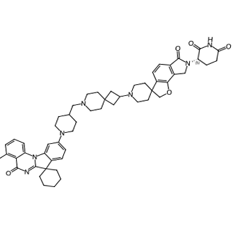 O=C1CC[C@H](N2Cc3c(ccc4c3OCC43CCN(C4CC5(CCN(CC6CCN(c7ccc8c(c7)-n7c(nc(=O)c9c(Cl)cccc97)C87CCCCC7)CC6)CC5)C4)CC3)C2=O)C(=O)N1